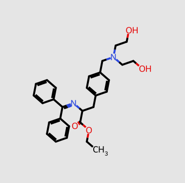 CCOC(=O)C(Cc1ccc(CN(CCO)CCO)cc1)N=C(c1ccccc1)c1ccccc1